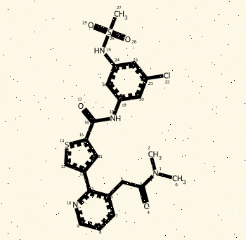 CN(C)C(=O)Cc1cccnc1-c1csc(C(=O)Nc2cc(Cl)cc(NS(C)(=O)=O)c2)c1